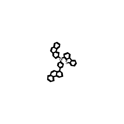 c1ccc2c(c1)ccc1ccc(N(c3ccc(-c4cccc5c4ccc4ccccc45)cc3)c3cccc4c3sc3ccccc34)cc12